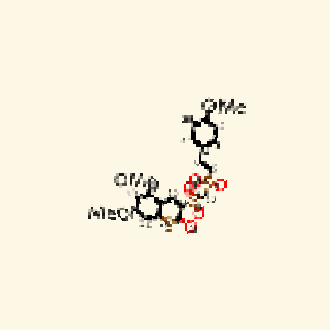 COc1ccc(C=CS(=O)(=O)CS(=O)(=O)c2cc3c(OC)cc(OC)cc3sc2=O)cc1